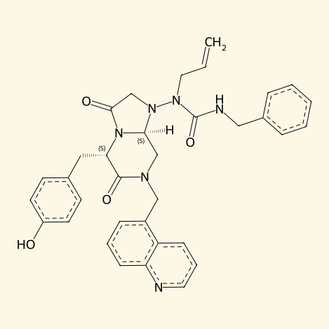 C=CCN(C(=O)NCc1ccccc1)N1CC(=O)N2[C@@H](Cc3ccc(O)cc3)C(=O)N(Cc3cccc4ncccc34)C[C@@H]21